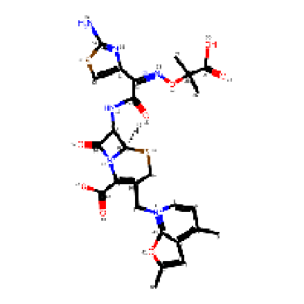 Cc1cc2c(C)cc[n+](CC3=C(C(=O)[O-])N4C(=O)C(NC(=O)/C(=N\OC(C)(C)C(=O)O)c5csc(N)n5)[C@H]4SC3)c2o1